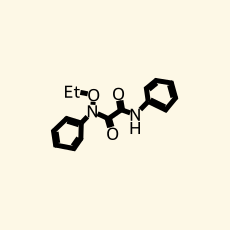 CCON(C(=O)C(=O)Nc1ccccc1)c1ccccc1